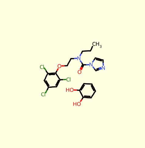 CCCN(CCOc1c(Cl)cc(Cl)cc1Cl)C(=O)n1ccnc1.Oc1ccccc1O